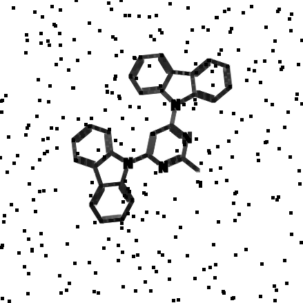 Cc1nc(-n2c3ccccc3c3ccccc32)cc(-n2c3ccccc3c3ccccc32)n1